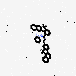 CC1(C)c2cc3ccccc3cc2-c2c(/C(=C/Cc3ccc4c(c3)C(C)(C)c3c-4ccc4ccccc34)Nc3ccccc3)cccc21